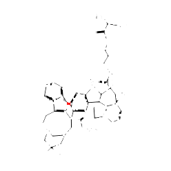 CCC1(O)C[C@H]2C[N@](CCc3c([nH]c4ccccc34)[C@@](C(=O)OC)(c3cc4c(cc3OC)N(C)C3[C@]45CCN4CC=C[C@](CC)(C45)[C@@H](O)[C@]3(O)C(=O)NCCCOC(=O)C(N)C(C)C)C2)C1